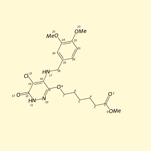 COC(=O)CCCCCOc1n[nH]c(=O)c(Cl)c1NCc1ccc(OC)c(OC)c1